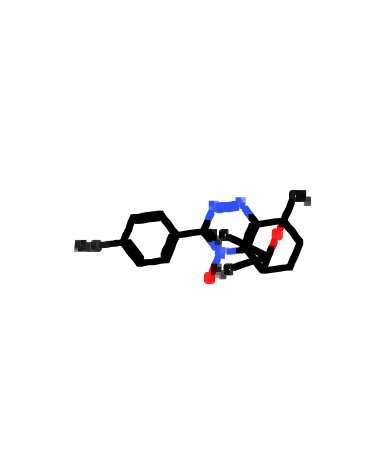 COc1ccc(-c2nnc3c([n+]2[O-])C2CCC3(C)OC2(C)C)cc1